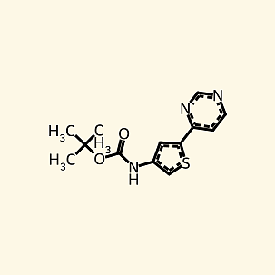 CC(C)(C)OC(=O)Nc1csc(-c2ccncn2)c1